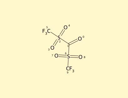 O=C(S(=O)(=O)C(F)(F)F)S(=O)(=O)C(F)(F)F